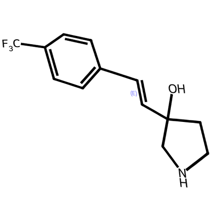 OC1(/C=C/c2ccc(C(F)(F)F)cc2)CCNC1